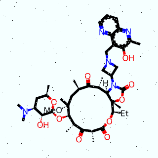 CC[C@H]1OC(=O)[C@H](C)C(=O)[C@H](C)[C@@H](O[C@@H]2O[C@H](C)C[C@H](N(C)C)[C@H]2O)[C@](C)(OC)C[C@@H](C)C(=O)[C@H](C)[C@H]2N(C3CN(Cc4c(O)c(C)nc5cccnc45)C3)C(=O)O[C@]12C